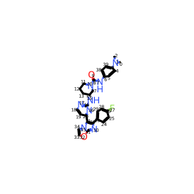 CN(C)c1ccc(NC(=O)N2CCC[C@@H](Nc3nccc(-c4c(-c5ccc(F)cc5)nc5occn45)n3)C2)cc1